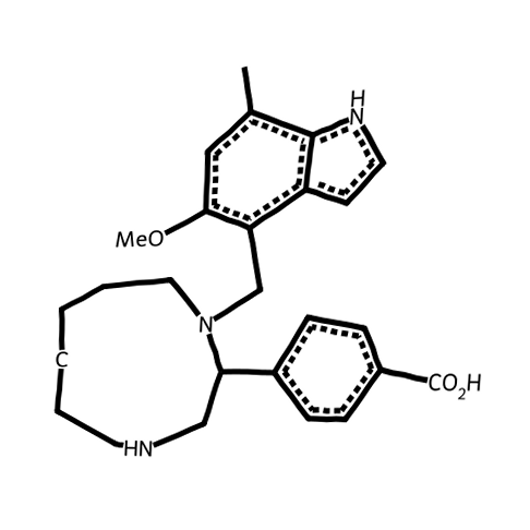 COc1cc(C)c2[nH]ccc2c1CN1CCCCCCNCC1c1ccc(C(=O)O)cc1